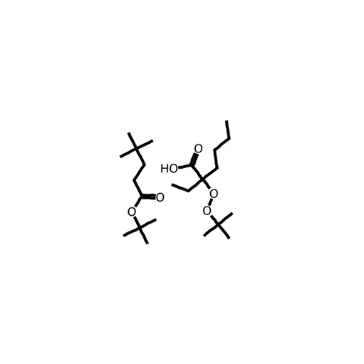 CC(C)(C)CCC(=O)OC(C)(C)C.CCCCC(CC)(OOC(C)(C)C)C(=O)O